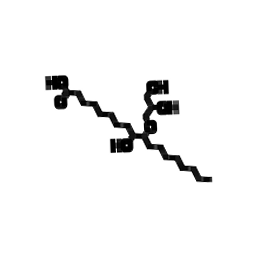 CCCCCCCCC(OCC(O)CO)C(O)CCCCCCCC(=O)O